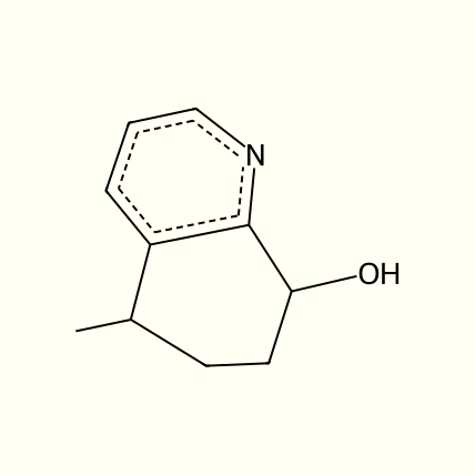 CC1CCC(O)c2ncccc21